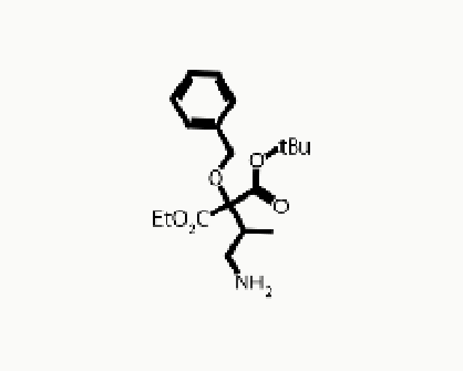 CCOC(=O)C(OCc1ccccc1)(C(=O)OC(C)(C)C)C(C)CN